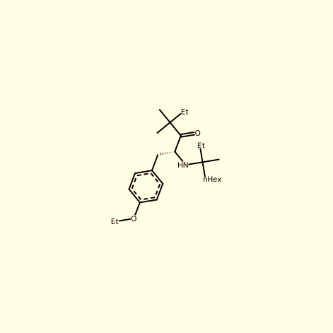 CCCCCCC(C)(CC)N[C@H](Cc1ccc(OCC)cc1)C(=O)C(C)(C)CC